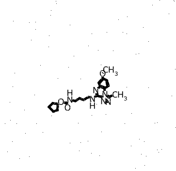 COc1ccc2c(c1)nc(NCCCCNC(=O)OC1CCCC1)c1nnc(C)n12